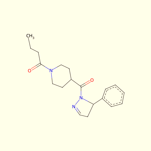 CCCC(=O)N1CCC(C(=O)N2N=CCC2c2ccccc2)CC1